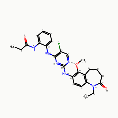 CCC(=O)Nc1ccccc1Nc1nc(Nc2ccc3c(c2OC)CCCC(=O)N3CC)ncc1Cl